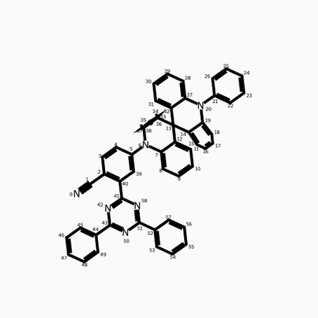 N#Cc1ccc(N2c3ccccc3C3(c4ccccc4N(c4ccccc4)c4ccccc43)c3ccccc32)cc1-c1nc(-c2ccccc2)nc(-c2ccccc2)n1